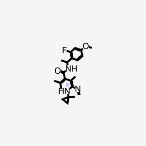 C=N/C(NC1(C)CC1)=C(\C)C(C(=O)NC(C)c1ccc(OC)cc1F)=C(C)C